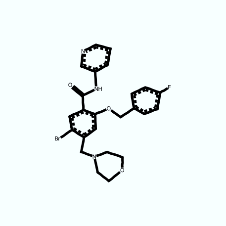 O=C(Nc1cccnc1)c1cc(Br)c(CN2CCOCC2)cc1OCc1ccc(F)cc1